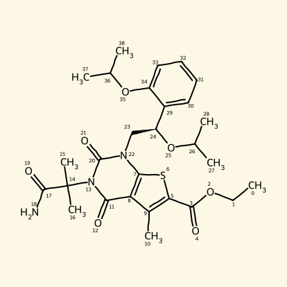 CCOC(=O)c1sc2c(c1C)c(=O)n(C(C)(C)C(N)=O)c(=O)n2C[C@H](OC(C)C)c1ccccc1OC(C)C